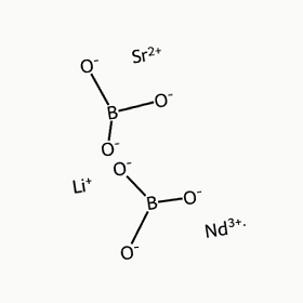 [Li+].[Nd+3].[O-]B([O-])[O-].[O-]B([O-])[O-].[Sr+2]